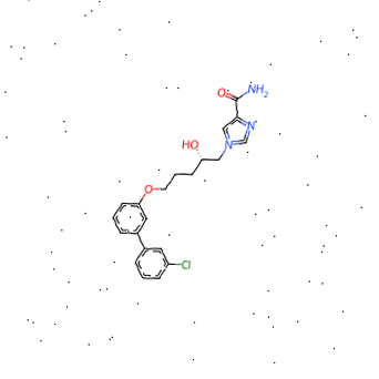 NC(=O)c1cn(C[C@@H](O)CCCOc2cccc(-c3cccc(Cl)c3)c2)cn1